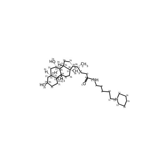 C[C@H](CCC(=O)NCCCCCN1CCCCC1)[C@H]1CC[C@H]2[C@@H]3[C@@H](O)C[C@@H]4C[C@H](O)CC[C@]4(C)[C@H]3CC[C@]12C